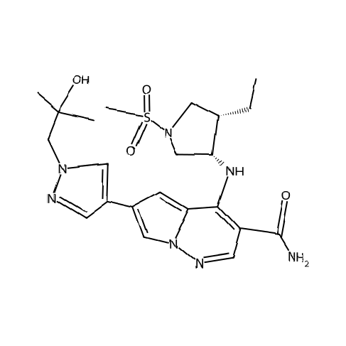 CC[C@H]1CN(S(C)(=O)=O)C[C@H]1Nc1c(C(N)=O)cnn2cc(-c3cnn(CC(C)(C)O)c3)cc12